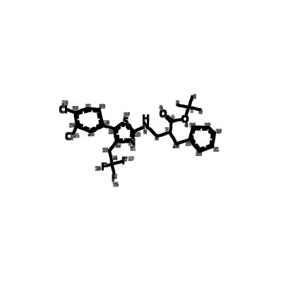 CC(C)(C)OC(=O)C(CNc1nc(CC(F)(F)F)c(-c2ccc(Cl)c(Cl)c2)s1)Cc1ccccc1